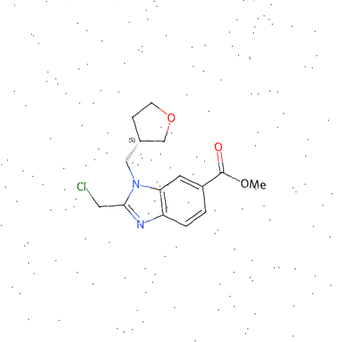 COC(=O)c1ccc2nc(CCl)n(C[C@@H]3CCOC3)c2c1